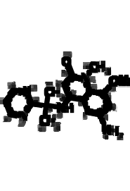 COc1cc(N)cc2c(NC(C)(C)c3ncccn3)cc(=O)n(C)c12